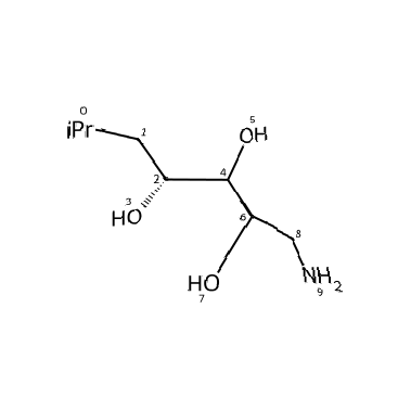 CC(C)C[C@@H](O)C(O)C(O)CN